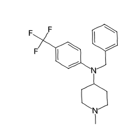 CN1CCC(N(Cc2ccccc2)c2ccc(C(F)(F)F)cc2)CC1